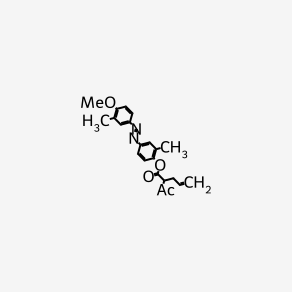 C=CCC(C(C)=O)C(=O)Oc1ccc(N=Nc2ccc(OC)c(C)c2)cc1C